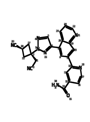 N#CC[C@]1(n2ncc(-c3cc(-c4cc(C(N)=O)ccn4)cc4ncccc34)n2)C[C@H](C#N)C1